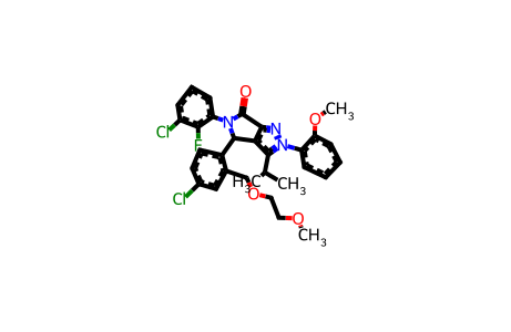 COCCOCc1cc(Cl)ccc1C1c2c(nn(-c3ccccc3OC)c2C(C)C)C(=O)N1c1cccc(Cl)c1F